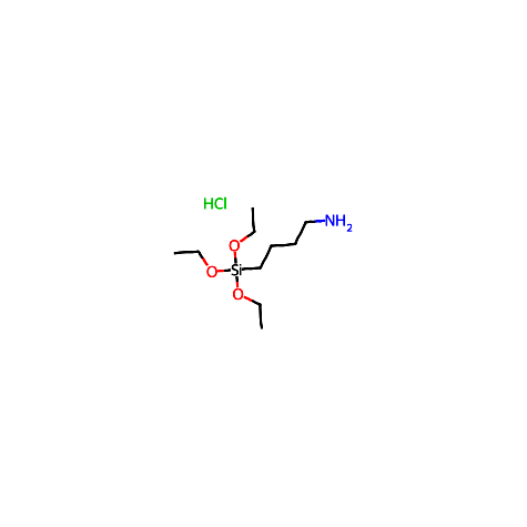 CCO[Si](CCCCN)(OCC)OCC.Cl